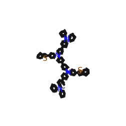 C1=CCCC(N(c2ccccc2)c2ccc(-c3ccc(N(c4ccc(-c5ccc(N(c6ccc(-c7ccc(N(c8ccccc8)c8ccccc8)cc7)cc6)c6ccc(-c7cc8ccccc8s7)cc6)cc5)cc4)c4ccc(-c5cc6ccccc6s5)cc4)cc3)cc2)=C1